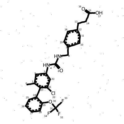 Cc1cc(NC(=O)NCc2ccc(CCC(=O)O)cc2)cc(Cl)c1-c1ccccc1OC(F)(F)F